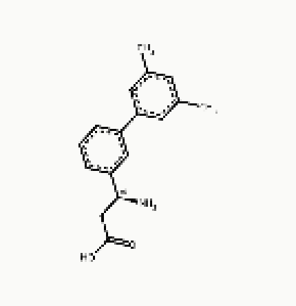 Cc1cc(C)cc(-c2cccc([C@@H](N)CC(=O)O)c2)c1